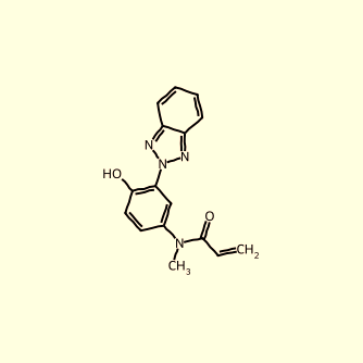 C=CC(=O)N(C)c1ccc(O)c(-n2nc3ccccc3n2)c1